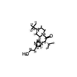 CC(C)[C@@H](C(=O)N1CCN(C(C)(C)C)CC1)n1cc(CCO)nn1